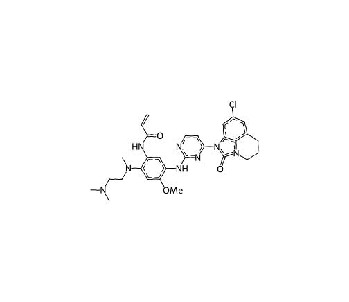 C=CC(=O)Nc1cc(Nc2nccc(-n3c(=O)n4c5c(cc(Cl)cc53)CCC4)n2)c(OC)cc1N(C)CCN(C)C